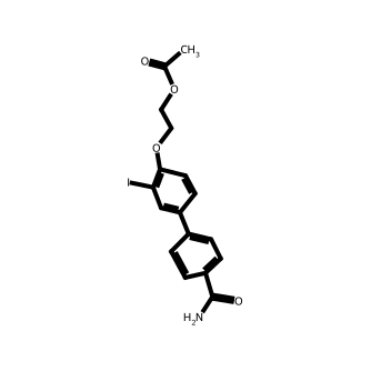 CC(=O)OCCOc1ccc(-c2ccc(C(N)=O)cc2)cc1I